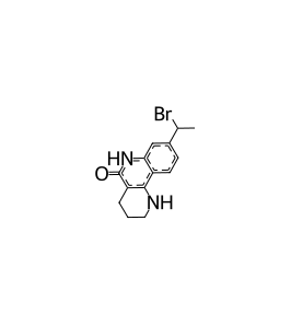 CC(Br)c1ccc2c3c(c(=O)[nH]c2c1)CCCN3